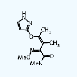 CNC(=O)C(=NOC)C(C)=C(C)Oc1cc[nH]n1